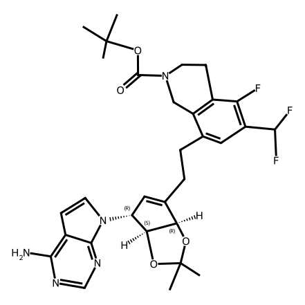 CC(C)(C)OC(=O)N1CCc2c(F)c(C(F)F)cc(CCC3=C[C@@H](n4ccc5c(N)ncnc54)[C@@H]4OC(C)(C)O[C@H]34)c2C1